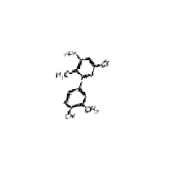 CCCc1cc(CC)cc(-c2ccc(C#N)c(C)c2)c1C